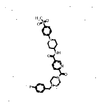 CS(=O)(=O)c1ccc(N2CCC(NC(=O)c3ccc(C(=O)N4CCN(Cc5ccc(F)cc5)CC4)nc3)CC2)cc1